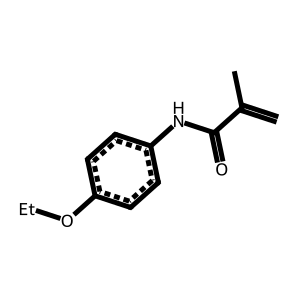 C=C(C)C(=O)Nc1ccc(OCC)cc1